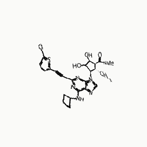 CNC(=O)[C@@H]1C(O)C(O)[C@H](n2cnc3c(NC4CCC4)nc(C#Cc4ccc(Cl)s4)nc32)[C@H]1C